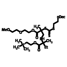 CCCCCCCCCCCCSC(=S)SC(C)(CBC(C)(CC)C(=O)OCC[N+](C)(C)C)C(=O)OCCOCCOC